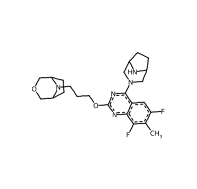 Cc1c(F)cc2c(N3CC4CCC(C3)N4)nc(OCCCN3C4CCC3COC4)nc2c1F